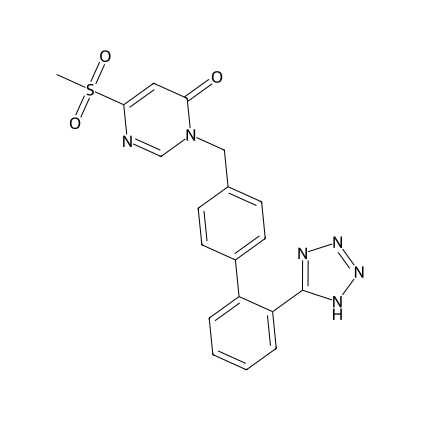 CS(=O)(=O)c1cc(=O)n(Cc2ccc(-c3ccccc3-c3nnn[nH]3)cc2)cn1